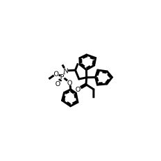 CCC(=O)C(CC(C)N(C)P(=O)(OC)Oc1ccccc1)(c1ccccc1)c1ccccc1